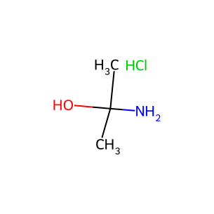 CC(C)(N)O.Cl